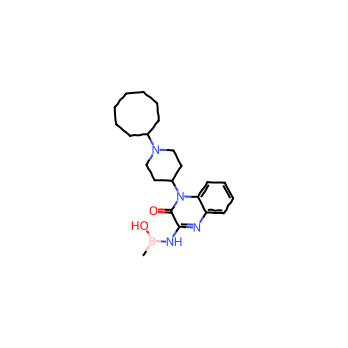 CB(O)Nc1nc2ccccc2n(C2CCN(C3CCCCCCC3)CC2)c1=O